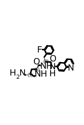 NC[C@H]1CN[C@H](C(=O)N[C@H](Cc2ccccc2F)C(=O)Nc2ccc3ncccc3c2)C1